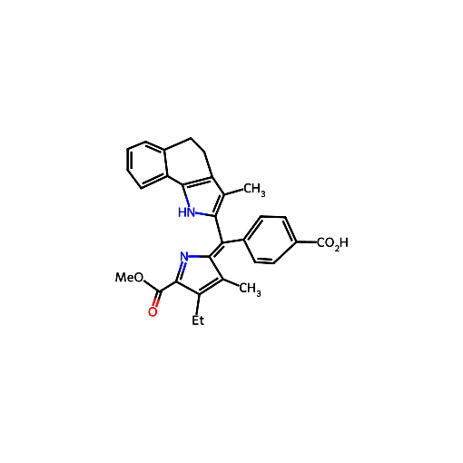 CCC1=C(C)/C(=C(\c2ccc(C(=O)O)cc2)c2[nH]c3c(c2C)CCc2ccccc2-3)N=C1C(=O)OC